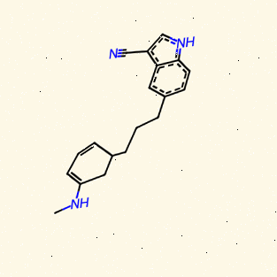 CNC1=CC=CC(CCCc2ccc3[nH]cc(C#N)c3c2)C1